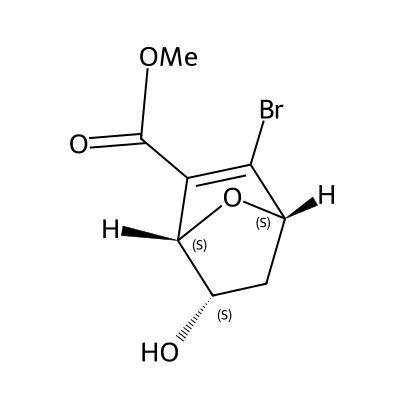 COC(=O)C1=C(Br)[C@@H]2C[C@H](O)[C@H]1O2